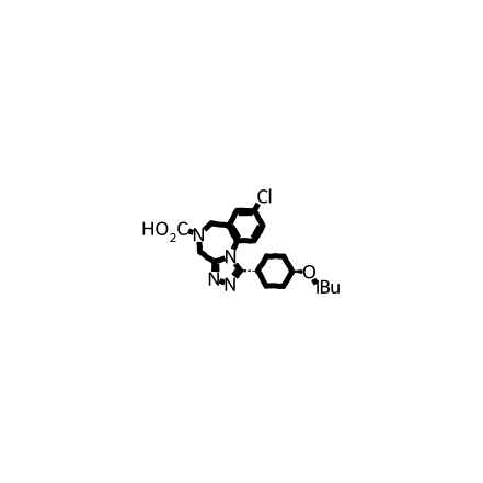 CCC(C)O[C@H]1CC[C@H](c2nnc3n2-c2ccc(Cl)cc2CN(C(=O)O)C3)CC1